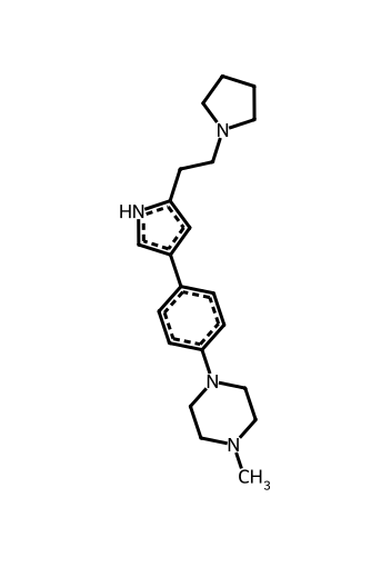 CN1CCN(c2ccc(-c3c[nH]c(CCN4CCCC4)c3)cc2)CC1